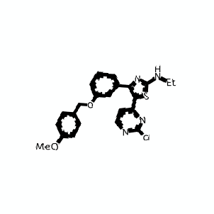 CCNc1nc(-c2cccc(OCc3ccc(OC)cc3)c2)c(-c2ccnc(Cl)n2)s1